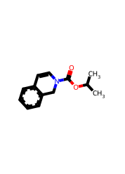 CC(C)OC(=O)N1C=Cc2ccccc2C1